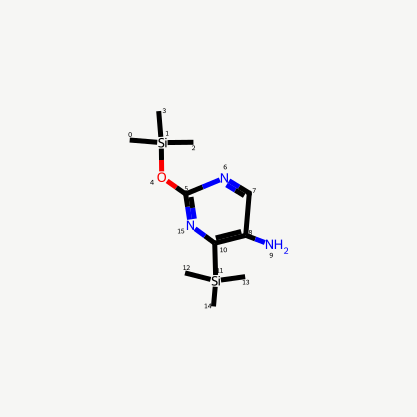 C[Si](C)(C)Oc1ncc(N)c([Si](C)(C)C)n1